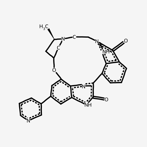 C[C@@H]1CC2CN1CCn1[nH]c3c(cccc3c1=O)-c1nc3c(cc(-c4cccnc4)cc3[nH]c1=O)O2